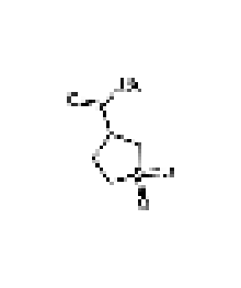 CC(C)(C)C(=O)C1CCS(=O)(=O)C1